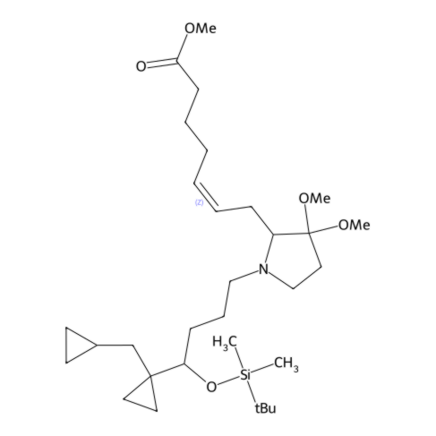 COC(=O)CCC/C=C\CC1N(CCCC(O[Si](C)(C)C(C)(C)C)C2(CC3CC3)CC2)CCC1(OC)OC